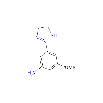 COc1cc(N)cc(C2=NCCN2)c1